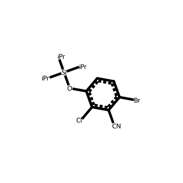 CC(C)[Si](Oc1ccc(Br)c(C#N)c1Cl)(C(C)C)C(C)C